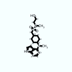 CN(c1ncnc2[nH]ccc12)C1CCC(CS(=O)(=O)N(C)CCO)CC1